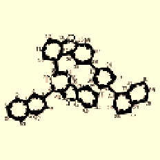 c1ccc2cc(-c3nc(-c4cccc5oc6ccc(-c7ccc(-c8cccc9ccccc89)cc7)cc6c45)nc4c3sc3ccccc34)ccc2c1